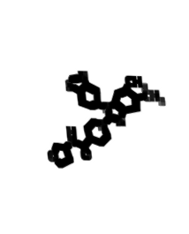 Cc1cc2nc(N3CCC(C(=O)NC4CCOC4)CC3)n(-c3ccc4scnc4c3)c2cc1C